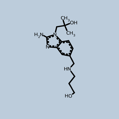 CC(C)(O)Cn1c(N)nc2cc(CNCCCO)ccc21